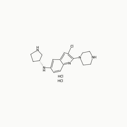 Cl.Cl.Clc1cc2cc(N[C@@H]3CCNC3)ccc2nc1N1CCNCC1